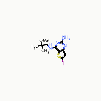 COC(C)(C)CNc1nc(N)nc2cc(I)sc12